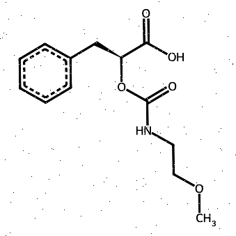 COCCNC(=O)O[C@@H](Cc1ccccc1)C(=O)O